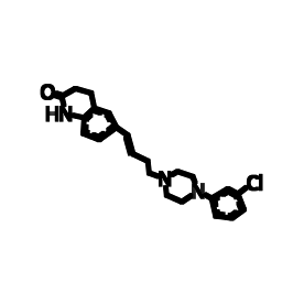 O=C1CCc2cc(/C=C/CCN3CCN(c4cccc(Cl)c4)CC3)ccc2N1